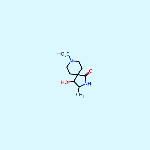 CC1NC(=O)C2(CCN(C(=O)O)CC2)C1O